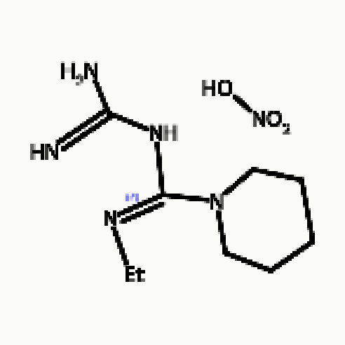 CC/N=C(/NC(=N)N)N1CCCCC1.O=[N+]([O-])O